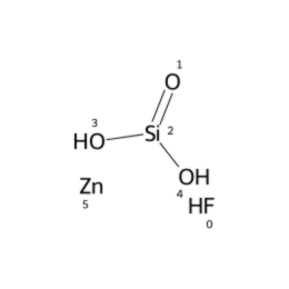 F.O=[Si](O)O.[Zn]